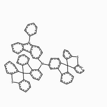 c1ccc(-n2c3ccccc3c3cc(N(c4ccc5c(c4)-c4ccccc4C54c5ccccc5Sc5ccccc54)c4cccc5c4-c4ccccc4C54c5ccccc5Sc5ccccc54)ccc32)cc1